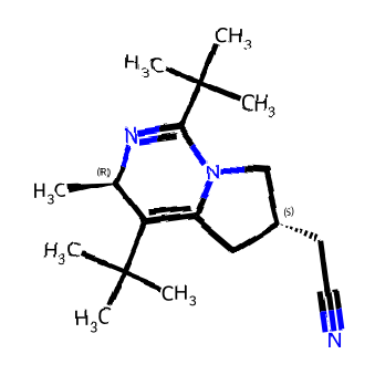 C[C@H]1N=C(C(C)(C)C)N2C[C@H](CC#N)CC2=C1C(C)(C)C